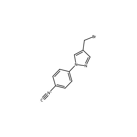 [C-]#[N+]c1ccc(-n2cc(CBr)cn2)cc1